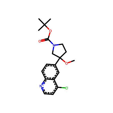 COC1(c2ccc3nccc(Cl)c3c2)CCN(C(=O)OC(C)(C)C)C1